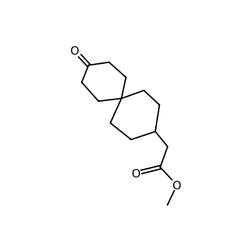 COC(=O)CC1CCC2(CCC(=O)CC2)CC1